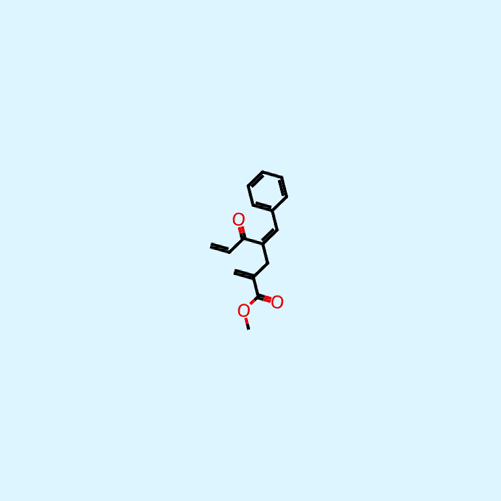 C=CC(=O)C(=Cc1ccccc1)CC(=C)C(=O)OC